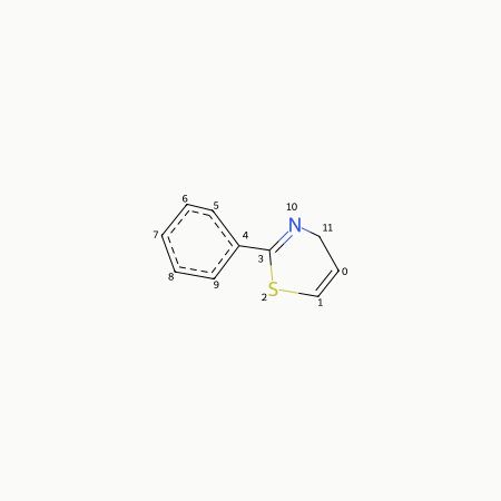 C1=CSC(c2ccccc2)=NC1